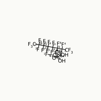 CCCCCCCCF.FC(F)(F)C(F)(F)C(F)(F)C(F)(F)C(F)(F)C(F)(F)C(F)(F)C(F)(F)F.O=P(O)(O)O